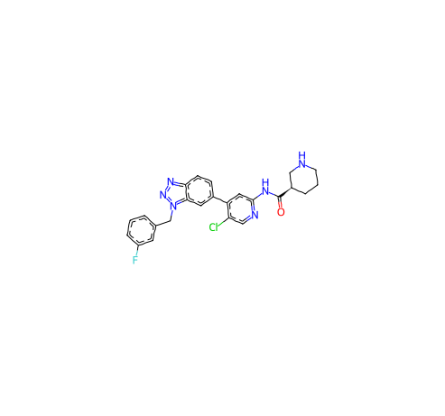 O=C(Nc1cc(-c2ccc3nnn(Cc4cccc(F)c4)c3c2)c(Cl)cn1)[C@@H]1CCCNC1